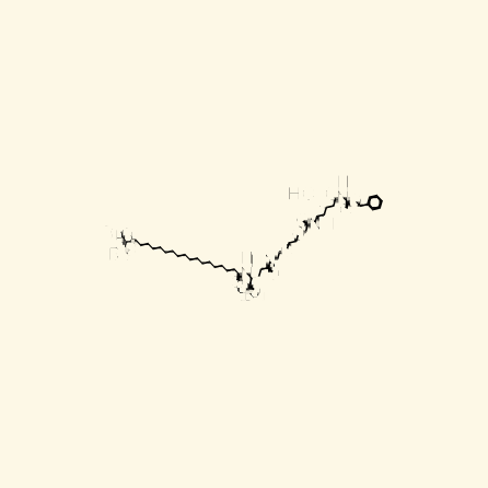 CC(C)(C)OC(=O)[C@H](CCC(=O)NCCOCCOCC(=O)NCCCC[C@H](NC(=O)OCc1ccccc1)C(=O)O)NC(=O)CCCCCCCCCCCCCCCCCP(=O)(OC(C)(C)C)OC(C)(C)C